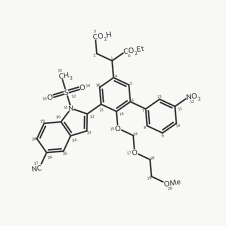 CCOC(=O)C(CC(=O)O)c1cc(-c2cccc([N+](=O)[O-])c2)c(OCOCCOC)c(-c2cc3cc(C#N)ccc3n2S(C)(=O)=O)c1